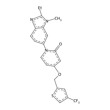 CCc1nc2ccc(-n3ccc(OCc4cc(C(F)(F)F)cs4)cc3=O)cc2n1C